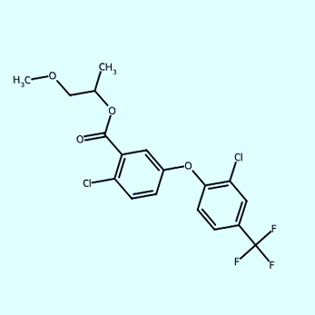 COCC(C)OC(=O)c1cc(Oc2ccc(C(F)(F)F)cc2Cl)ccc1Cl